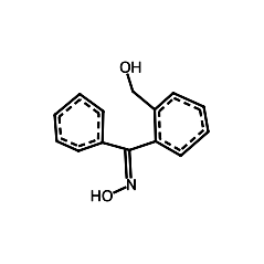 OCc1ccccc1C(=NO)c1ccccc1